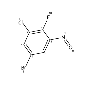 O=Nc1cc(Br)cc(Cl)c1F